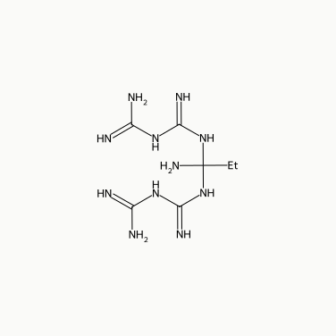 [CH2]CC(N)(NC(=N)NC(=N)N)NC(=N)NC(=N)N